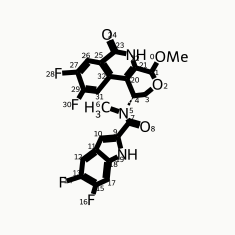 COC1OC[C@H](N(C)C(=O)c2cc3cc(F)c(F)cc3[nH]2)c2c1[nH]c(=O)c1cc(F)c(F)cc21